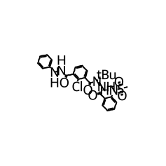 CC(C)(C)N(NC(=O)c1ccccc1NS(C)(=O)=O)C(=O)c1cccc(C(=O)NNc2ccccc2)c1Cl